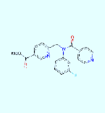 COC(=O)c1ccc(CN(C(=O)c2ccncc2)c2cccc(F)c2)nc1